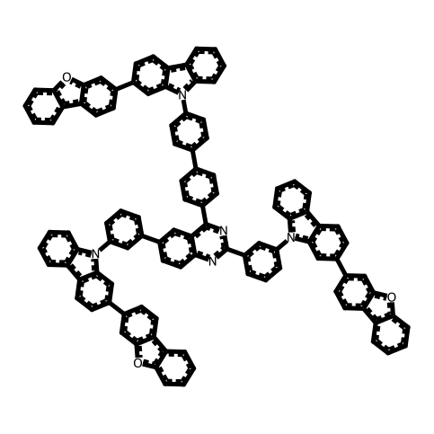 c1cc(-c2ccc3nc(-c4cccc(-n5c6ccccc6c6ccc(-c7ccc8c(c7)oc7ccccc78)cc65)c4)nc(-c4ccc(-c5ccc(-n6c7ccccc7c7ccc(-c8ccc9c(c8)oc8ccccc89)cc76)cc5)cc4)c3c2)cc(-n2c3ccccc3c3ccc(-c4ccc5c(c4)oc4ccccc45)cc32)c1